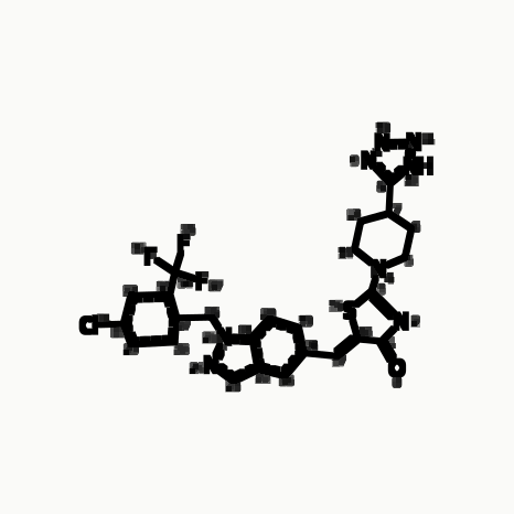 O=C1N=C(N2CCC(c3nnn[nH]3)CC2)S/C1=C\c1ccc2c(cnn2Cc2ccc(Cl)cc2C(F)(F)F)c1